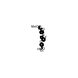 CCNC(=O)c1ccc(Oc2ccc(F)c3c2CC[C@H]3Oc2ccc3c(c2)OCC3CC(=O)OC)cc1